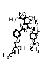 CNCC(O)COc1cccc(-c2nc(N[C@@H]3CCN(C(=O)OC)C[C@@H]3F)c(C)c(-c3c(C)noc3C)n2)c1